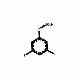 O=S(=O)(O)Oc1cc(F)cc(F)c1